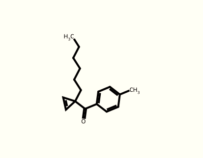 CCCCCCC1(C(=O)c2ccc(C)cc2)C=C1